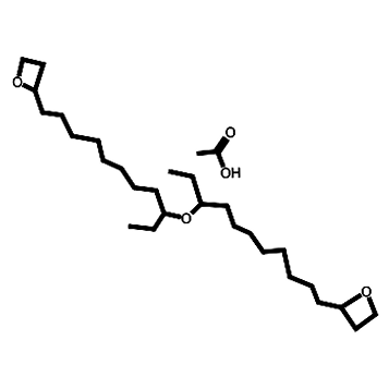 CC(=O)O.CCC(CCCCCCCCC1CCO1)OC(CC)CCCCCCCCC1CCO1